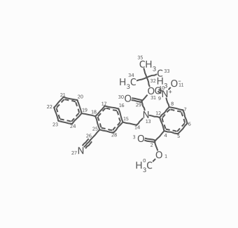 COC(=O)c1cccc([N+](=O)[O-])c1N(Cc1ccc(-c2ccccc2)c(C#N)c1)C(=O)OC(C)(C)C